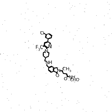 CC(CCC(=O)NC=O)N1Cc2cc(CNCC3CCN(c4ncc(-c5cccc(Cl)c5)cc4C(F)(F)F)CC3)ccc2C1=O